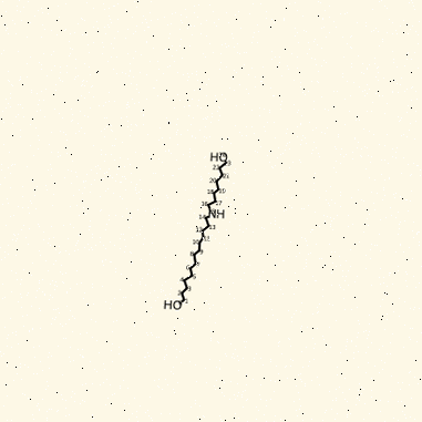 OCCCCCCCCCCCCCCNCCCCCCCCO